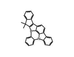 CC1(C)C2=C(c3ccccc31)c1ccc3c4ccccc4n4c3c1B2c1ccccc1-4